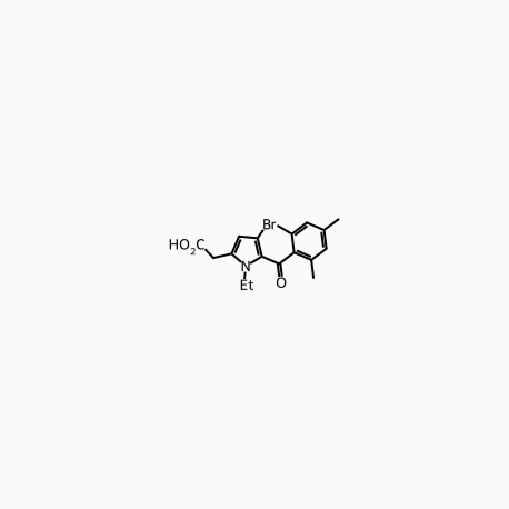 CCn1c(CC(=O)O)cc(Br)c1C(=O)c1c(C)cc(C)cc1C